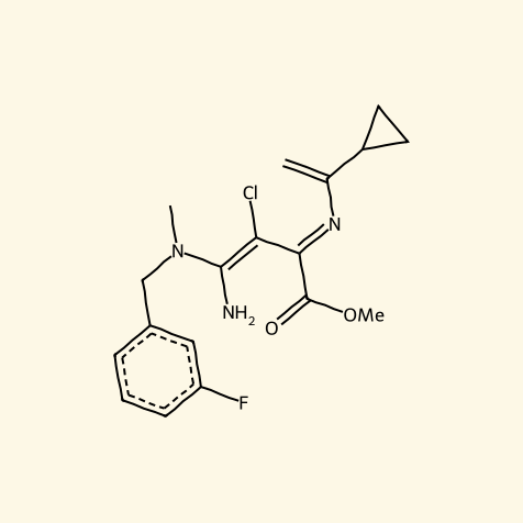 C=C(/N=C(C(=O)OC)\C(Cl)=C(/N)N(C)Cc1cccc(F)c1)C1CC1